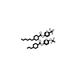 CCCC1CCC(C(=O)Oc2ccc(OC(F)(F)F)nc2)CC1.CCCCCCC1CCC(C(=O)Oc2ccc(C(F)(F)F)nc2)CC1